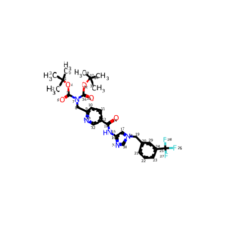 CC(C)(C)OC(=O)N(Cc1ccc(C(=O)Nc2cn(Cc3cccc(C(F)(F)F)c3)cn2)cn1)C(=O)OC(C)(C)C